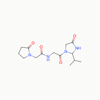 CC(C)C1NC(=O)CN1C(=O)CNC(=O)CN1CCCC1=O